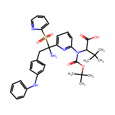 CC(C)(C)OC(=O)N(c1cccc(C(N)(Cc2ccc(Nc3ccccc3)cc2)S(=O)(=O)c2ccccn2)n1)C(C(=O)O)C(C)(C)C